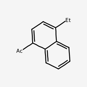 CCc1ccc(C(C)=O)c2ccccc12